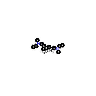 CC1(C)c2cc(-c3ccc(N(c4ccccc4)c4ccc5ccccc5c4)cc3)ccc2-c2cc3ccc(N(c4ccccc4)c4ccc5ccccc5c4)cc3c3cccc1c23